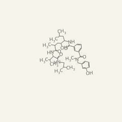 CC(C)CNC(=O)C(NC(=O)C(C)CC(O)C(CC(C)C)NC(=O)c1cccc(C(=O)N(C)Cc2cccc(O)c2)c1)C(C)C